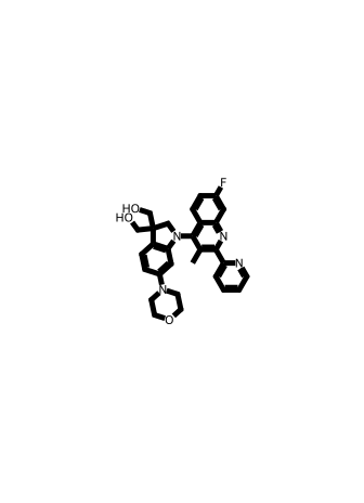 Cc1c(-c2ccccn2)nc2cc(F)ccc2c1N1CC(CO)(CO)c2ccc(N3CCOCC3)cc21